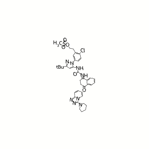 CC(C)(C)c1cc(NC(=O)N[C@H]2CC[C@@H](Oc3ccc4nnc(N5CCCCC5)n4c3)c3ccccc32)n(-c2ccc(Cl)c(CCOS(C)(=O)=O)c2)n1